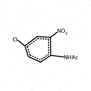 CC(=O)Nc1ccc(Cl)cc1[N+](=O)[O-]